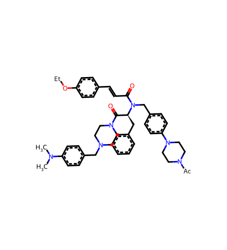 CCOc1ccc(C=CC(=O)N(Cc2ccc(N3CCN(C(C)=O)CC3)cc2)[C@@H](Cc2ccccc2)C(=O)N2CCN(Cc3ccc(N(C)C)cc3)CC2)cc1